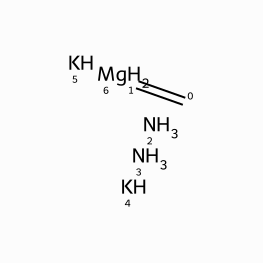 C=C.N.N.[KH].[KH].[MgH2]